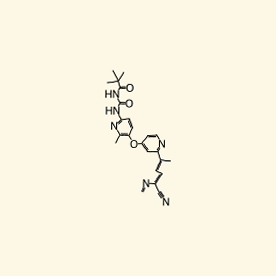 C=N/C(C#N)=C\C=C(/C)c1cc(Oc2ccc(NC(=O)NC(=O)C(C)(C)C)nc2C)ccn1